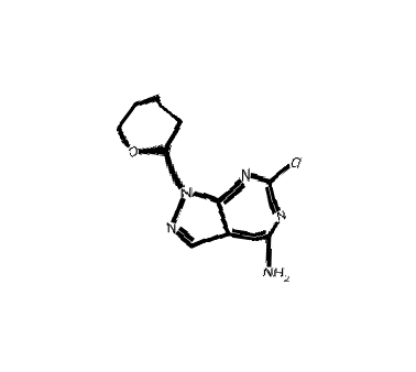 Nc1nc(Cl)nc2c1cnn2C1CCCCO1